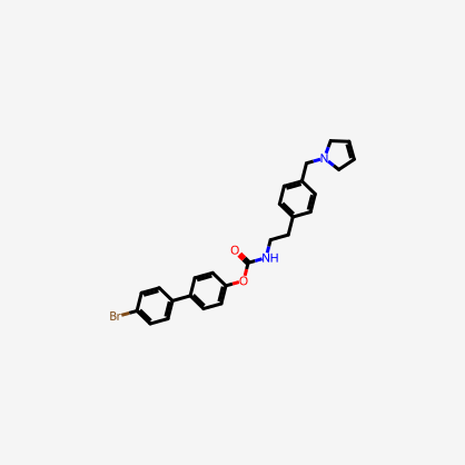 O=C(NCCc1ccc(CN2CC=CC2)cc1)Oc1ccc(-c2ccc(Br)cc2)cc1